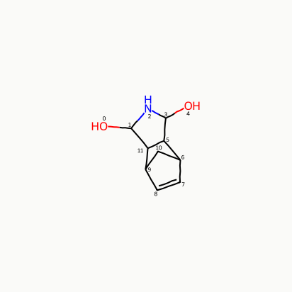 OC1NC(O)C2C3C=CC(C3)C12